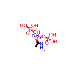 CC(N)=O.N.O=P(O)(O)O.O=P(O)(O)O